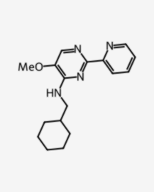 COc1cnc(-c2ccccn2)nc1NCC1CCCCC1